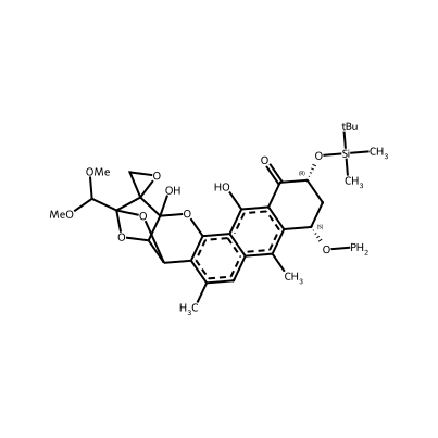 COC(OC)C12OC3c4c(C)cc5c(C)c6c(c(O)c5c4OC(O)(C3O1)C21CO1)C(=O)[C@H](O[Si](C)(C)C(C)(C)C)C[C@@H]6OP